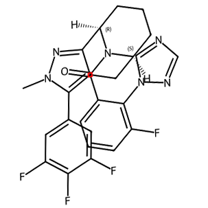 Cn1nc2c(c1-c1cc(F)c(F)c(F)c1)C[C@@H]1CCC[C@H]2N1C(=O)c1cccc(F)c1-n1cncn1